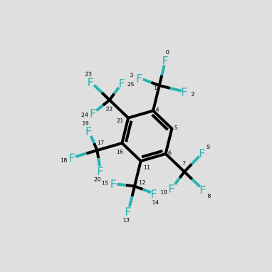 FC(F)(F)c1cc(C(F)(F)F)c(C(F)(F)F)c(C(F)(F)F)c1C(F)(F)F